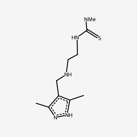 CNC(=S)NCCNCc1c(C)n[nH]c1C